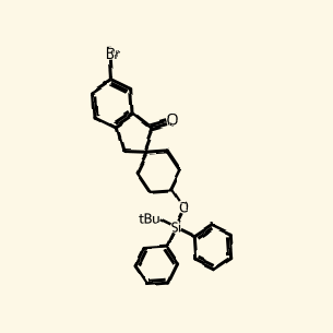 CC(C)(C)[Si](OC1CCC2(CC1)Cc1ccc(Br)cc1C2=O)(c1ccccc1)c1ccccc1